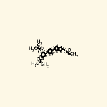 C=CC(=O)OCC1Cc2ccc(-c3ccc(-c4cc(OC(=O)C(=C)C)cc(OC(=O)C(=C)C)c4)cc3F)cc2C1